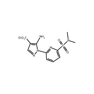 CCOC(=O)c1cnn(-c2cccc(S(=O)(=O)N(C)C)n2)c1N